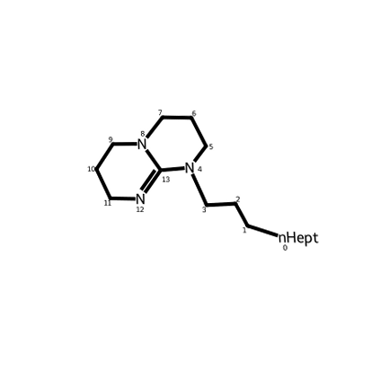 CCCCCCCCCCN1CCCN2CCCN=C12